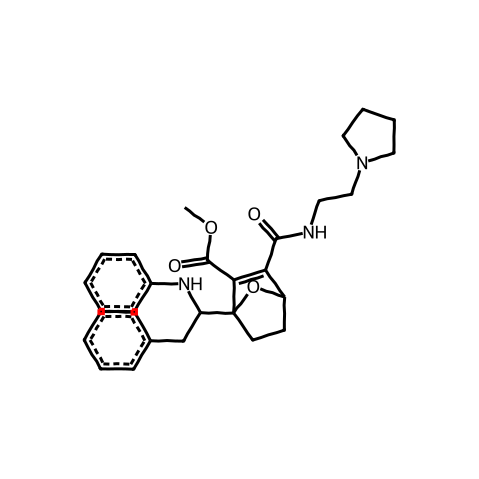 COC(=O)C1=C(C(=O)NCCN2CCCC2)C2CCC1(C(Cc1ccccc1)Nc1ccccc1)O2